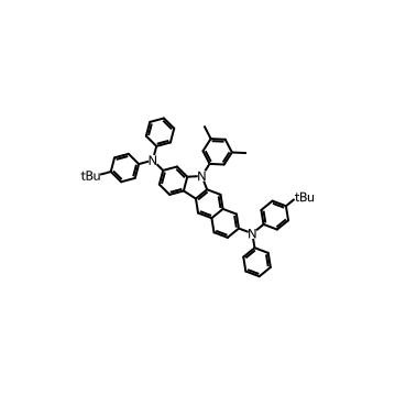 Cc1cc(C)cc(-n2c3cc(N(c4ccccc4)c4ccc(C(C)(C)C)cc4)ccc3c3cc4ccc(N(c5ccccc5)c5ccc(C(C)(C)C)cc5)cc4cc32)c1